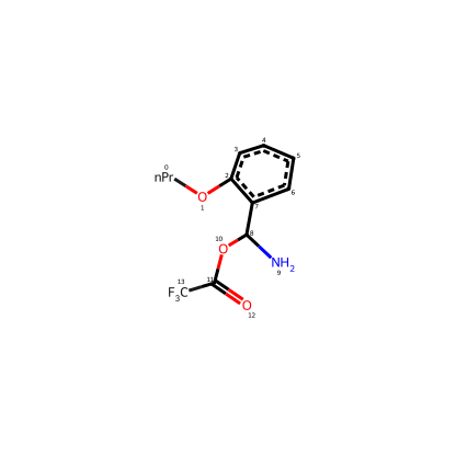 CCCOc1ccccc1C(N)OC(=O)C(F)(F)F